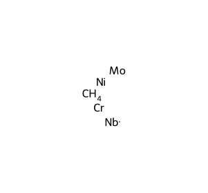 C.[Cr].[Mo].[Nb].[Ni]